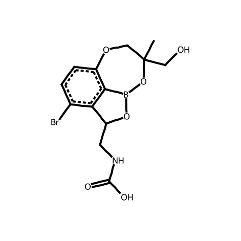 CC1(CO)COc2ccc(Br)c3c2B(OC3CNC(=O)O)O1